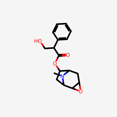 CN1C2CC3OC3C1CC2OC(=O)C(CO)c1ccccc1